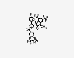 CN(C(=O)N(C)C1CN(C(=O)C2CCC(n3nnnc3C(F)(F)F)CC2)CC1c1ccc(F)cn1)c1cc(C(F)(F)F)cc(C(F)(F)F)c1